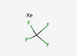 FC(F)(F)F.[Xe]